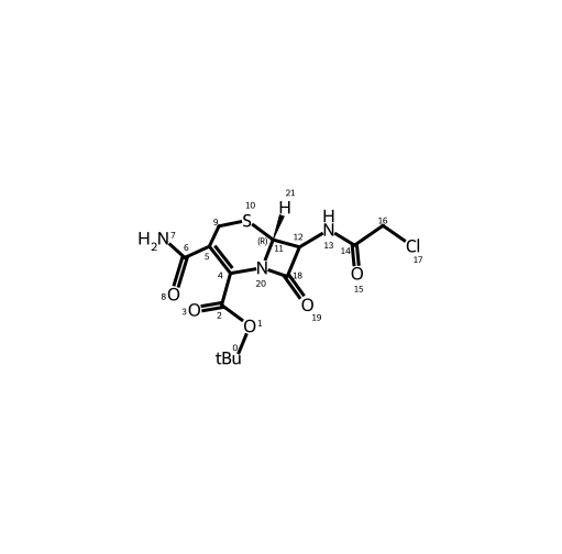 CC(C)(C)OC(=O)C1=C(C(N)=O)CS[C@@H]2C(NC(=O)CCl)C(=O)N12